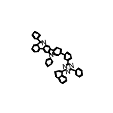 c1ccc(-c2nc(-c3cccc(-c4ccc5c6cc7nc(-c8ccccc8)c8ccccc8c7cc6n(-c6ccccc6)c5c4)c3)nc(-c3cccc4ccccc34)n2)cc1